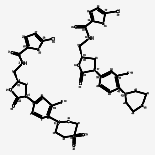 O=C(NC[C@H]1CN(c2ccc(N3CCS(=O)(=O)CC3)c(F)c2)C(=O)O1)c1ccc(Cl)s1.O=C(NC[C@H]1CN(c2ccc(N3CCSCC3)c(F)c2)C(=O)O1)c1ccc(Cl)s1